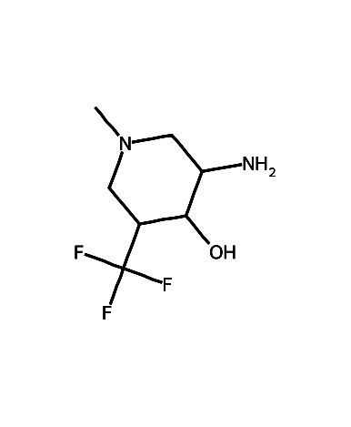 CN1CC(N)C(O)C(C(F)(F)F)C1